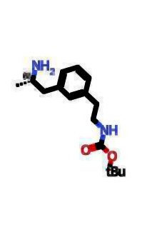 C[C@H](N)Cc1cccc(CCNC(=O)OC(C)(C)C)c1